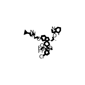 COC(=O)C1(N(C(=O)C(F)(F)F)c2cccc(Cl)c2)CCC2(CC1)c1cc(OCCn3cc(C4CC4)nn3)ccc1C[C@@H]2C[C@@H](C)COc1ccnc2c1[C@H](C)CCC2